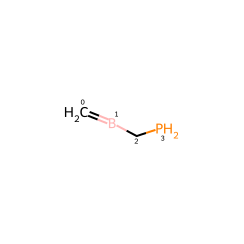 C=BCP